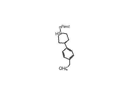 CCCCC[SiH]1CCC(c2ccc(CC=O)cc2)CC1